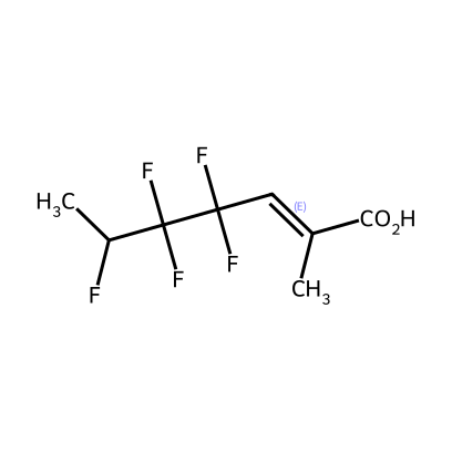 C/C(=C\C(F)(F)C(F)(F)C(C)F)C(=O)O